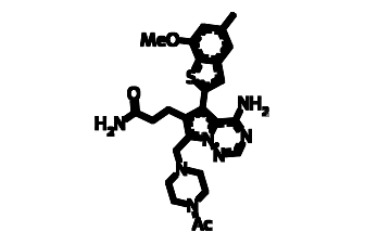 COc1cc(C)cc2cc(-c3c(CCC(N)=O)c(CN4CCN(C(C)=O)CC4)n4ncnc(N)c34)sc12